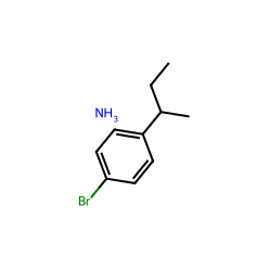 CCC(C)c1ccc(Br)cc1.N